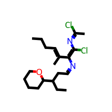 CCC/C=C(C)/C(/N=C\CC(CC)C1CCCCO1)=C(Cl)\N=C(/C)Cl